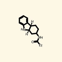 CCC(=O)NC1CC[C@H]2c3ccccc3N[C@H]2C1